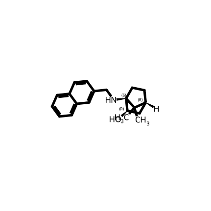 CC1(C)[C@@H]2CC[C@@]1(NCc1ccc3ccccc3c1)[C@H](O)C2